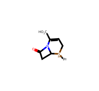 CC(C)[SH]1CC=C(C(=O)O)N2C(=O)CC21